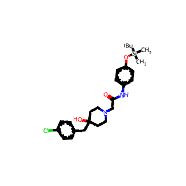 CC(C)(C)[Si](C)(C)Oc1ccc(NC(=O)CN2CCC(O)(Cc3ccc(Cl)cc3)CC2)cc1